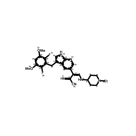 CCN1CCC(N/C=C(\C(=N)C#N)c2cnc3[nH]cc(Cc4c(F)c(OC)cc(OC)c4F)c3c2)CC1